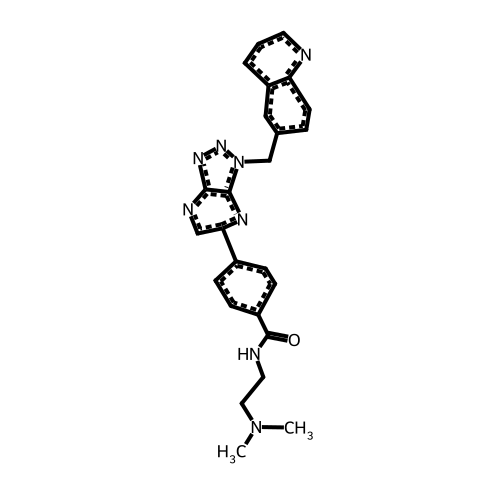 CN(C)CCNC(=O)c1ccc(-c2cnc3nnn(Cc4ccc5ncccc5c4)c3n2)cc1